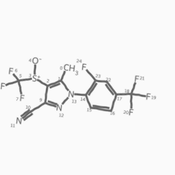 Cc1c([S+]([O-])C(F)(F)F)c(C#N)nn1-c1ccc(C(F)(F)F)cc1F